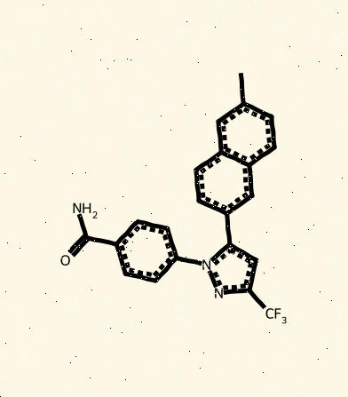 Cc1ccc2cc(-c3cc(C(F)(F)F)nn3-c3ccc(C(N)=O)cc3)ccc2c1